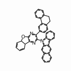 C1=CC2Oc3nc(-c4ccc5c(c4)-c4ccccc4CC5)c(-n4c5ccccc5c5cc6ccccc6cc54)nc3C2C=C1